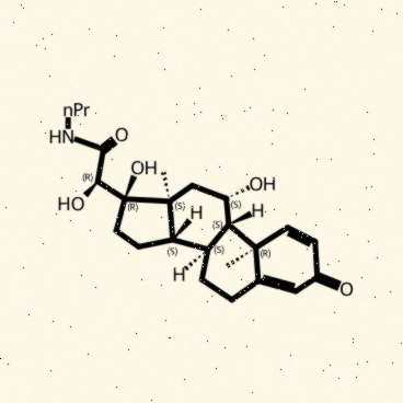 CCCNC(=O)[C@H](O)[C@@]1(O)CC[C@H]2[C@@H]3CCC4=CC(=O)C=C[C@]4(C)[C@H]3[C@@H](O)C[C@@]21C